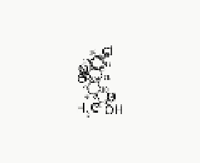 CC(C(=O)O)c1ccc2c(c1)Cc1cc(Cl)ccc1S2(=O)=O